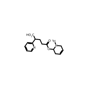 [2H]N1CC=CCC1OC(=O)CCC(C(=O)O)c1ccccn1